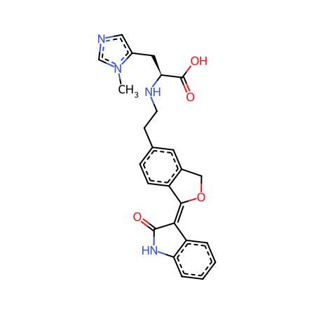 Cn1cncc1C[C@H](NCCc1ccc2c(c1)COC2=C1C(=O)Nc2ccccc21)C(=O)O